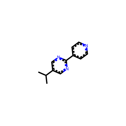 CC(C)c1cnc(-c2ccncc2)nc1